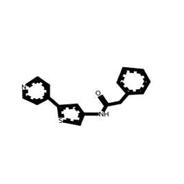 O=C(Cc1ccccc1)Nc1csc(-c2ccncc2)c1